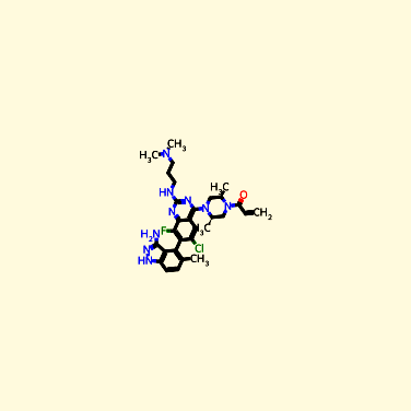 C=CC(=O)N1C[C@H](C)N(c2nc(NCCCN(C)C)nc3c(F)c(-c4c(C)ccc5[nH]nc(N)c45)c(Cl)cc23)C[C@H]1C